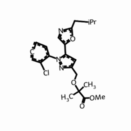 COC(=O)C(C)(C)OCc1cc(-c2cnc(CC(C)C)o2)n(-c2ccccc2Cl)n1